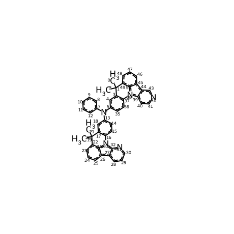 CC1(C)c2cc(N(c3ccccc3)c3ccc4c(c3)C(C)(C)c3cccc5c6cccnc6n-4c35)ccc2-n2c3ccncc3c3cccc1c32